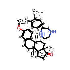 C1CNCCN1.C[C@]12CC[C@@H]3c4ccc(OS(=O)(=O)O)cc4CC[C@H]3[C@@H]1CCC2=O.O=C(O)c1ccccc1C(=O)O